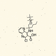 CCCCC(C)(CO[Si](C)(C)C(C)(C)C)Nc1c(C(=O)O)c(Cl)nc2cccnc12